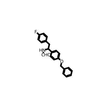 O=CNC(Cc1ccc(F)cc1)c1ccc(OCc2ccccc2)cc1